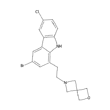 Clc1ccc2[nH]c3c(CCN4CC5(COC5)C4)cc(Br)cc3c2c1